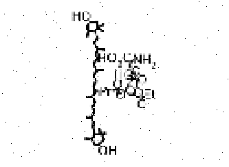 CC1=C[C@H](O)CC(C)(C)[C@H]1/C=C/C(C)=C/C=C/C(C)=C/C=C/C=C(C)/C=C/C=C(C)/C=C/C1=C(C)C[C@@H](O)CC1(C)C.CCCC(=O)O[C@H](COC(=O)CC)COP(=O)(O)OC[C@H](N)C(=O)O